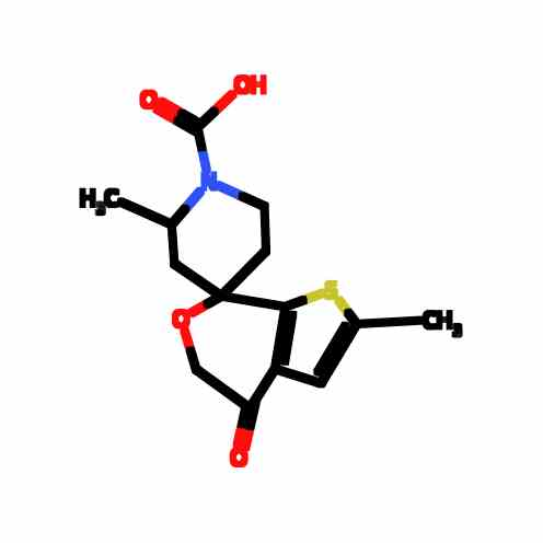 Cc1cc2c(s1)C1(CCN(C(=O)O)C(C)C1)OCC2=O